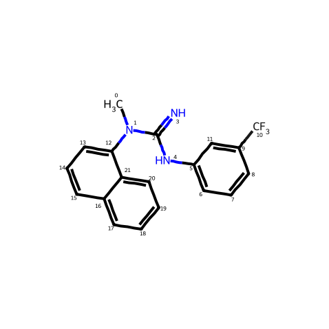 CN(C(=N)Nc1cccc(C(F)(F)F)c1)c1cccc2ccccc12